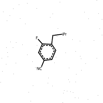 CC(C)Cc1ccc(C#N)cc1F